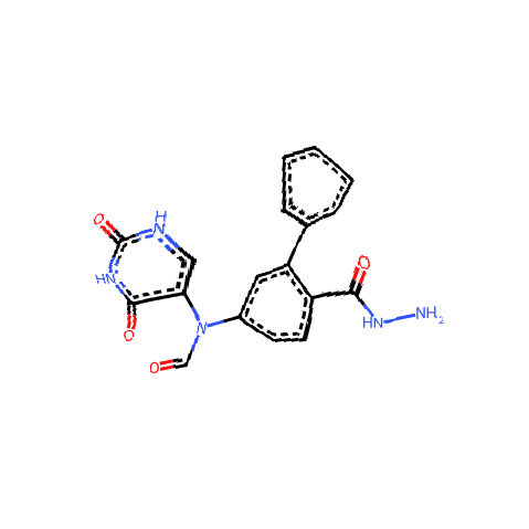 NNC(=O)c1ccc(N(C=O)c2c[nH]c(=O)[nH]c2=O)cc1-c1ccccc1